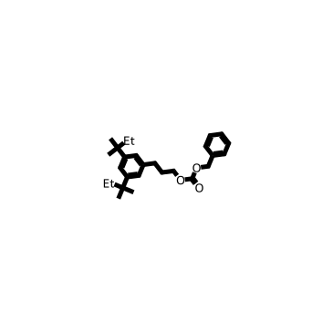 CCC(C)(C)c1cc(CCCOC(=O)OCc2ccccc2)cc(C(C)(C)CC)c1